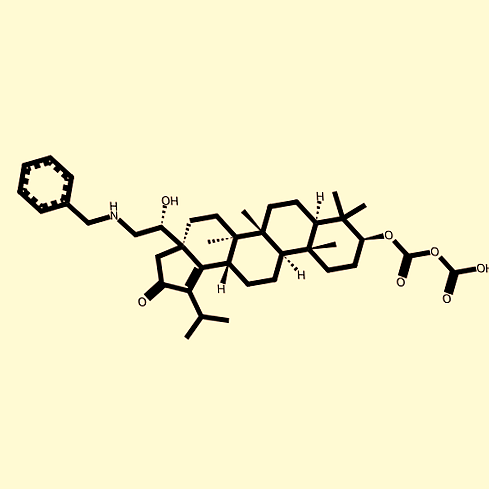 CC(C)C1=C2[C@H]3CC[C@@H]4[C@@]5(C)CC[C@H](OC(=O)OC(=O)O)C(C)(C)[C@@H]5CC[C@@]4(C)[C@]3(C)CC[C@@]2([C@@H](O)CNCc2ccccc2)CC1=O